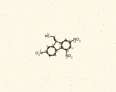 N#C/C=C1\c2cc([N+](=O)[O-])ccc2-c2c1cc([N+](=O)[O-])cc2[N+](=O)[O-]